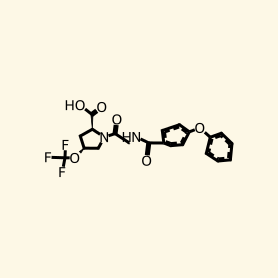 O=C(NCC(=O)N1C[C@@H](OC(F)(F)F)C[C@H]1C(=O)O)c1ccc(Oc2ccccc2)cc1